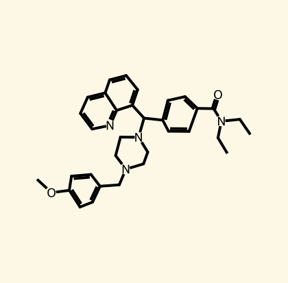 CCN(CC)C(=O)c1ccc(C(c2cccc3cccnc23)N2CCN(Cc3ccc(OC)cc3)CC2)cc1